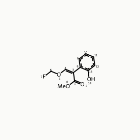 COC(=O)C(=COCF)c1ccccc1O